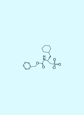 O=C(N[C@@H](CC1CCCCC1)CS(=O)(=O)Cl)OCc1ccccc1